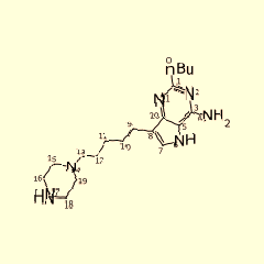 CCCCc1nc(N)c2[nH]cc(CCCCCN3CCNCC3)c2n1